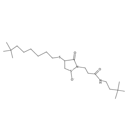 CC(C)(C)CCCCCCSC1C[S+]([O-])N(CCC(=O)NCCC(C)(C)C)C1=O